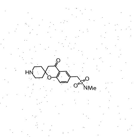 CNS(=O)(=O)Cc1ccc2c(c1)C(=O)CC1(CCNCC1)O2